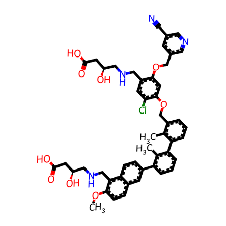 COc1ccc2cc(-c3cccc(-c4cccc(COc5cc(OCc6cncc(C#N)c6)c(CNC[C@@H](O)CC(=O)O)cc5Cl)c4C)c3C)ccc2c1CNC[C@@H](O)CC(=O)O